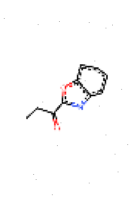 CCC(=O)c1nc2ccccc2o1